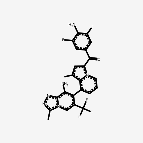 Cc1nnc2c(N)c(-c3cccn4c(C(=O)c5cc(F)c(N)c(F)c5)cc(I)c34)c(C(F)(F)F)cn12